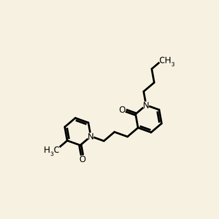 CCCCn1cccc(CCCn2cccc(C)c2=O)c1=O